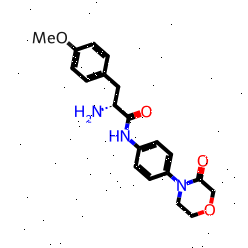 COc1ccc(C[C@@H](N)C(=O)Nc2ccc(N3CCOCC3=O)cc2)cc1